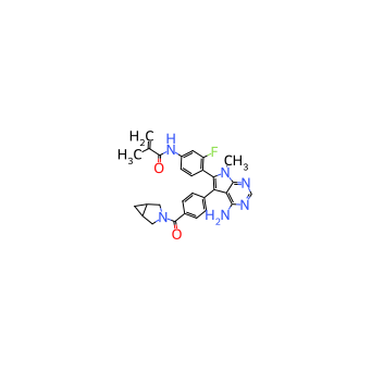 C=C(C)C(=O)Nc1ccc(-c2c(-c3ccc(C(=O)N4CC5CC5C4)cc3)c3c(N)ncnc3n2C)c(F)c1